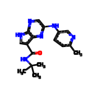 Cc1ccc(Nc2cnc3[nH]cc(C(=O)NC(C)(C)C)c3n2)cn1